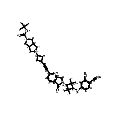 CC(C)(C)OC(=O)N1CC2CN(C3CC(C#Cc4ccc5c(n4)CN([C@H]4C(C)(C)[C@H](Oc6ccc(C#N)c(Cl)c6)C4(C)C)C5=O)C3)CC2C1